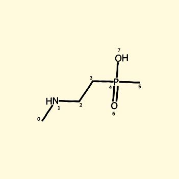 CNCCP(C)(=O)O